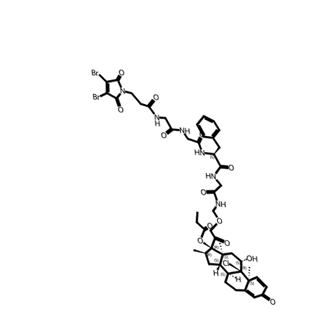 CCC(=O)O[C@]1(C(=O)COCNC(=O)CNC(=O)[C@H](Cc2ccccc2)NC(=O)CNC(=O)CNC(=O)CCN2C(=O)C(Br)=C(Br)C2=O)[C@H](C)C[C@H]2[C@@H]3CCC4=CC(=O)C=C[C@]4(C)[C@@]3(Cl)[C@@H](O)C[C@@]21C